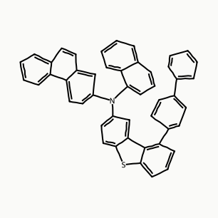 c1ccc(-c2ccc(-c3cccc4sc5ccc(N(c6ccc7c(ccc8ccccc87)c6)c6cccc7ccccc67)cc5c34)cc2)cc1